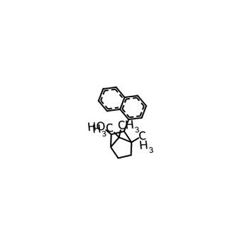 CC1(C)C2CCC1(C)C(c1cccc3ccccc13)C2O